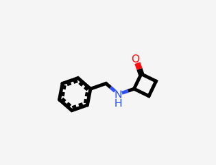 O=C1CCC1NCc1ccccc1